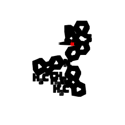 CC1(C)c2ccccc2-c2ccc(N(c3ccc4c(c3)C(C)(C)c3ccccc3-4)c3ccc4c5c(ccc4c3)Sc3ccccc3C53c4ccccc4-c4ccccc43)cc21